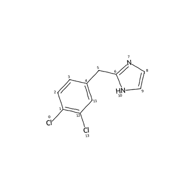 Clc1ccc(Cc2n[c]c[nH]2)cc1Cl